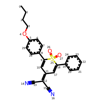 CCCCOc1ccc(C2=CC(=C(C#N)C#N)C=C(c3ccccc3)S2(=O)=O)cc1